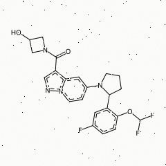 O=C(c1cnn2ccc(N3CCCC3c3cc(F)ccc3OC(F)F)cc12)N1CC(O)C1